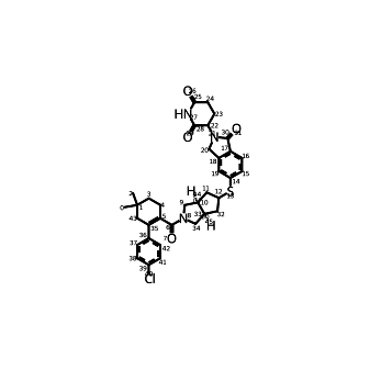 CC1(C)CCC(C(=O)N2C[C@H]3CC(Sc4ccc5c(c4)CN(C4CCC(=O)NC4=O)C5=O)C[C@H]3C2)=C(c2ccc(Cl)cc2)C1